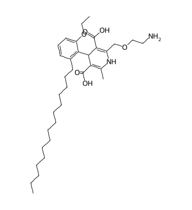 CCCCCCCCCCCCCCCc1cccc(OCC)c1C1C(C(=O)O)=C(C)NC(COCCN)=C1C(=O)O